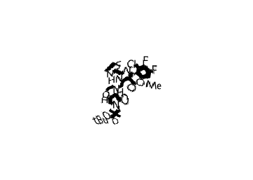 COC(=O)C1=C(CN2CCO[C@H]3CN(CC(C)(C)C(=O)OC(C)(C)C)C(=O)[C@H]32)NC(c2nccs2)=N[C@H]1c1ccc(F)c(F)c1Cl